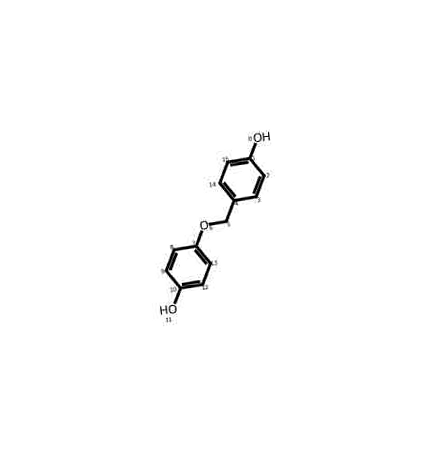 Oc1ccc(COc2ccc(O)cc2)cc1